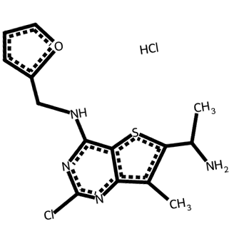 Cc1c(C(C)N)sc2c(NCc3ccco3)nc(Cl)nc12.Cl